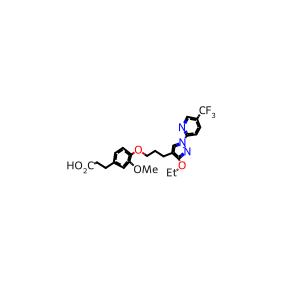 CCOc1nn(-c2ccc(C(F)(F)F)cn2)cc1CCCOc1ccc(CCC(=O)O)cc1OC